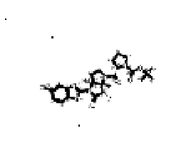 C[C@@H]1C(=O)N(c2nc3cc(Cl)ccc3s2)[C@H]2CCN(C(=O)[C@@H]3CCCN3C(=O)OC(C)(C)C)[C@H]12